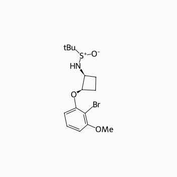 COc1cccc(O[C@@H]2CC[C@@H]2N[S+]([O-])C(C)(C)C)c1Br